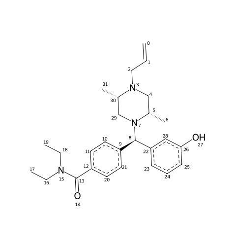 C=CCN1C[C@H](C)N([C@H](c2ccc(C(=O)N(CC)CC)cc2)c2cccc(O)c2)C[C@@H]1C